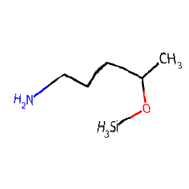 CC(CCCN)O[SiH3]